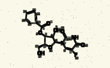 O=C(OC1C(O)[C@@H](n2cc(F)c(=O)[nH]c2=O)O[C@H]1CO)c1ccccc1